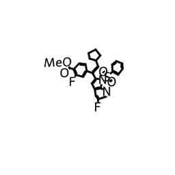 COC(=O)c1ccc(C(=CC2CCCC2)c2cc3cc(F)cnc3n2S(=O)(=O)c2ccccc2)cc1F